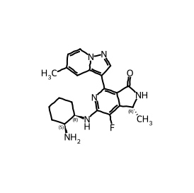 Cc1ccn2ncc(-c3nc(N[C@@H]4CCCC[C@@H]4N)c(F)c4c3C(=O)N[C@@H]4C)c2c1